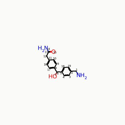 NCc1ccc(C(O)c2ccc(CC(N)=O)cc2)cc1